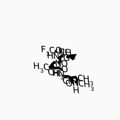 CC(OC1(C#N)CC1)C(NC(=O)C(F)(F)F)C(=O)N1CC2C(C1C(=O)NC(C#N)CC1CC(C)(C)NC1=O)C2(C)C